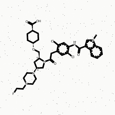 Cn1cc(C(=O)Nc2cc(Cl)c(CC(=O)N3C[C@@H](N4CCN(CCF)CC4)C[C@H]3CO[C@H]3CC[C@H](C(=O)O)CC3)cc2Cl)c2ccccc21